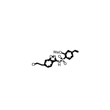 C=Cc1ccc(S(=O)(=O)Nc2noc3cc(CCCl)ccc23)c(OC)c1